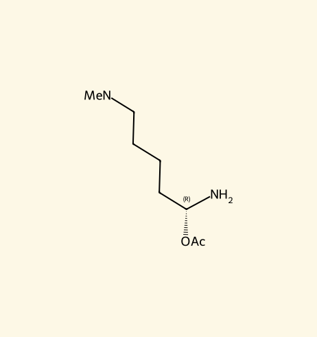 CNCCCC[C@H](N)OC(C)=O